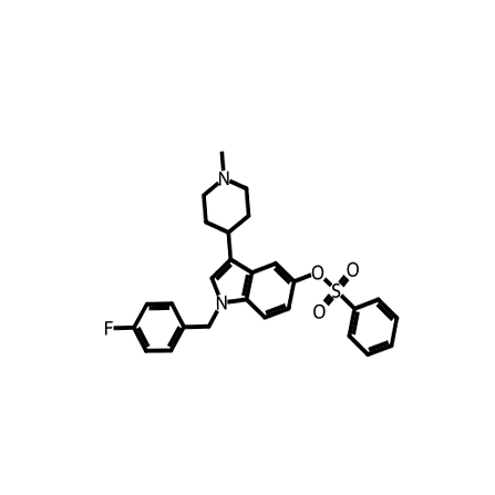 CN1CCC(c2cn(Cc3ccc(F)cc3)c3ccc(OS(=O)(=O)c4ccccc4)cc23)CC1